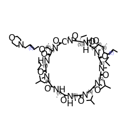 C/C=C/C[C@@H](C)[C@@H](O)[C@@H]1C(=O)N[C@@H](CC)C(=O)N(C)CC(=O)N(C)[C@@H]([C@@H](C)OC/C=C/CN2CCOCC2)C(=O)N[C@@H](C(C)C)C(=O)N(C)[C@H](CC(C)C)C(=O)N[C@@H](C)C(=O)N[C@H](C)C(=O)N(C)[C@@H](CC(C)C)C(=O)N(C)[C@@H](CC(C)C)C(=O)N(C)[C@@H](C(C)C)C(=O)N1C